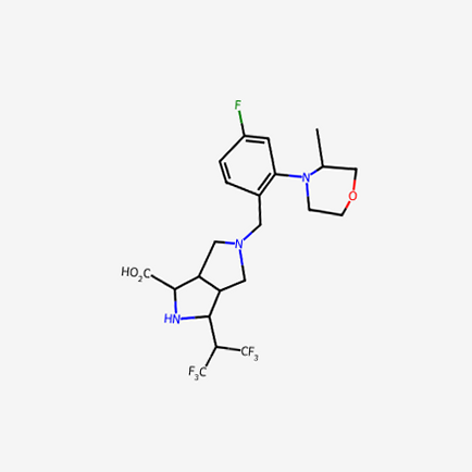 CC1COCCN1c1cc(F)ccc1CN1CC2C(C(=O)O)NC(C(C(F)(F)F)C(F)(F)F)C2C1